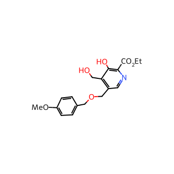 CCOC(=O)c1ncc(COCc2ccc(OC)cc2)c(CO)c1O